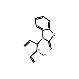 C=CC([C@H](O)C=C)n1c(=O)oc2ccccc21